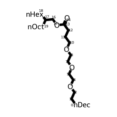 CCCCCCCCCCCCOCCOCCOCCCC(=O)OCC(CCCCCC)CCCCCCCC